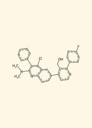 CN(C)c1nc2ccc(-c3ccnc(-c4ccc(F)cc4)c3CO)cc2c(Cl)c1-c1ccccc1